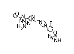 Nc1nc2c(cnn2CCN2CCN(c3ccc(O[C@@H]4CNC[C@H]4F)cc3F)CC2)c2nc(-c3ccco3)nn12